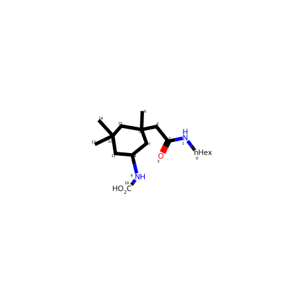 CCCCCCNC(=O)CC1(C)CC(NC(=O)O)CC(C)(C)C1